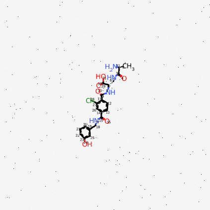 C[C@H](N)C(=O)NC[C@H](NC(=O)c1ccc(C(=O)NCc2cccc(O)c2)cc1Cl)C(=O)O